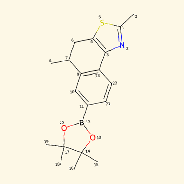 Cc1nc2c(s1)CC(C)c1cc(B3OC(C)(C)C(C)(C)O3)ccc1-2